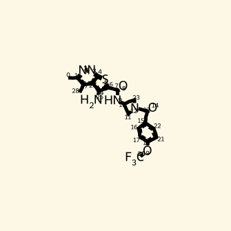 Cc1nnc2sc(C(=O)NC3CN(C(=O)c4ccc(OC(F)(F)F)cc4)C3)c(N)c2c1C